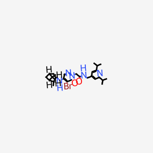 CC(C)c1cc(CNC(=O)Cn2ncc(N[C@@H]3C[C@@H]4C[C@H]([C@H]3C)C4(C)C)c(Br)c2=O)cc(C(C)C)n1